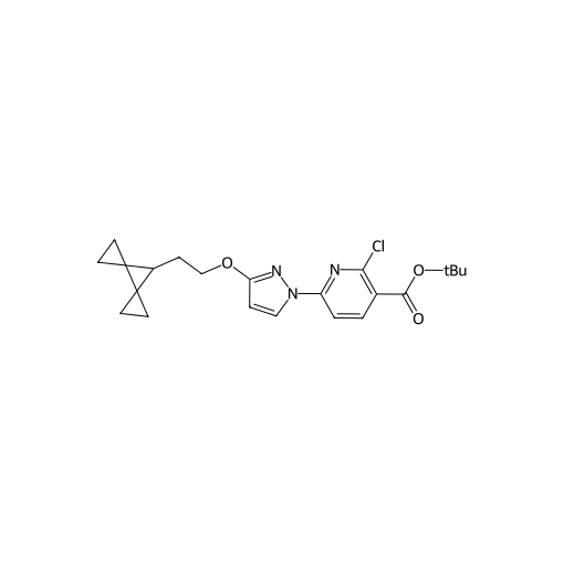 CC(C)(C)OC(=O)c1ccc(-n2ccc(OCCC3C4(CC4)C34CC4)n2)nc1Cl